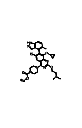 Cc1ccc2[nH]ncc2c1-c1c(Cl)cc2c(N3CCN(C(=O)OC(C)(C)C)CC3)nc(OCCN(C)C)nc2c1OC1CC1